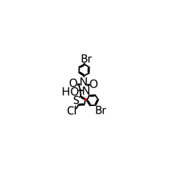 O=C1N(c2ccc(Br)cc2)C(=O)C(O)(c2ccc(Cl)s2)N1c1ccc(Br)cc1